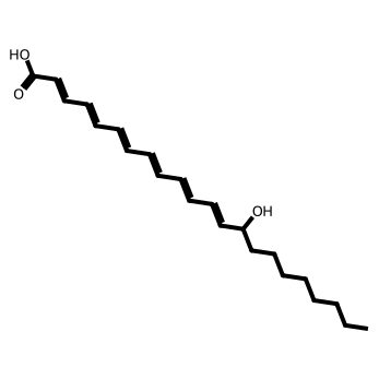 CCCCCCCCC(O)/C=C/C=C/C=C/C=C/C=C/C=C/C(=O)O